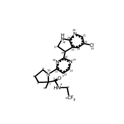 CC1(C(=O)NCC(F)(F)F)CCCN1c1ccnc(C2CNc3ncc(Cl)cc32)n1